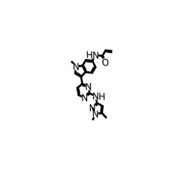 C=CC(=O)Nc1ccc2c(-c3ccnc(Nc4cc(C)n(C)n4)n3)cn(C)c2c1